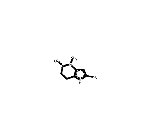 Cc1cc2c([nH]1)CCN(C)N2C